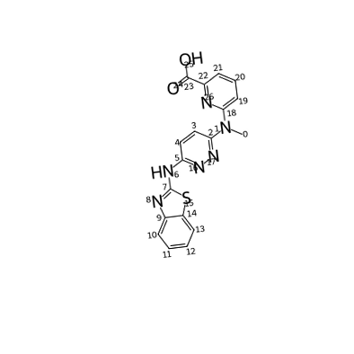 CN(c1ccc(Nc2nc3ccccc3s2)nn1)c1cccc(C(=O)O)n1